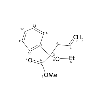 C=CCC(OCC)(C(=O)OC)c1ccccc1